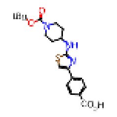 CC(C)(C)OC(=O)N1CCC(Nc2nc(-c3ccc(C(=O)O)cc3)cs2)CC1